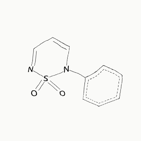 O=S1(=O)N=CC=CN1c1ccccc1